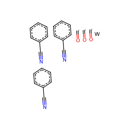 N#Cc1ccccc1.N#Cc1ccccc1.N#Cc1ccccc1.[C]=O.[C]=O.[C]=O.[W]